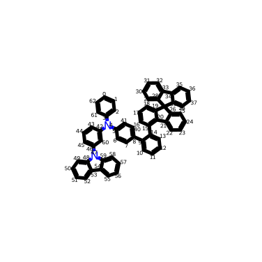 c1ccc(N(c2ccc(-c3ccccc3-c3cccc4c3-c3ccccc3C43c4ccccc4-c4ccccc43)cc2)c2cccc(-n3c4ccccc4c4ccccc43)c2)cc1